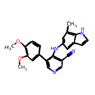 COc1ccc(-c2cncc(C#N)c2Nc2cc(C)c3[nH]ccc3c2)cc1OC